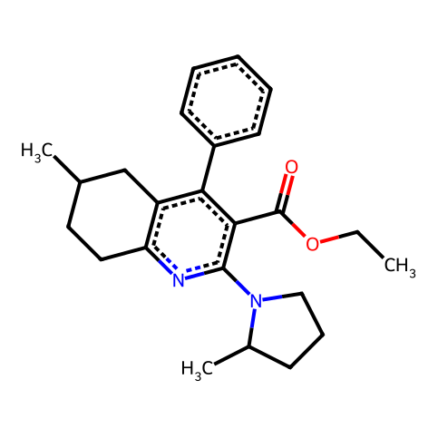 CCOC(=O)c1c(N2CCCC2C)nc2c(c1-c1ccccc1)CC(C)CC2